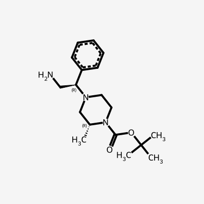 C[C@@H]1CN([C@@H](CN)c2ccccc2)CCN1C(=O)OC(C)(C)C